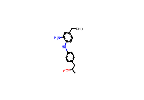 CC(O)Cc1ccc(Nc2ccc(CC=O)cc2N)cc1